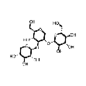 OC[C@H]1O[C@@H](O[C@H]2[CH]O[C@H](CO)[C@@H](O)[C@@H]2O[C@@H]2OC[C@@H](O)[C@H](O)[C@H]2O)[C@H](O)[C@@H](O)[C@@H]1O